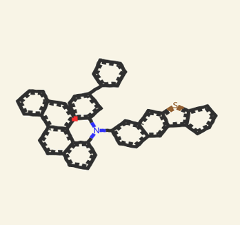 c1ccc(-c2cccc(N(c3ccc4cc5c(cc4c3)sc3ccccc35)c3cccc4ccc5c6ccccc6ccc5c34)c2)cc1